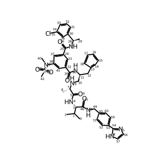 CC(C)[C@H](NC(=O)[C@H](C)NC[C@H](Cc1ccccc1)NC(=O)c1cc(C(=O)N[C@H](C)c2cccc(Cl)c2)cc(N(C)S(C)(=O)=O)c1)C(=O)NCc1ccc(-c2ncc[nH]2)cc1